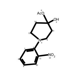 CC(=O)OC1(O)CCN(c2ccccc2[N+](=O)[O-])CC1